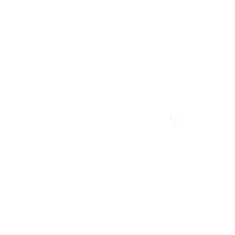 Cc1ccc(S(=O)(=O)O)cc1.ClCC1CNC1